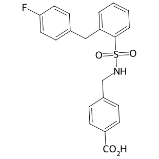 O=C(O)c1ccc(CNS(=O)(=O)c2ccccc2Cc2ccc(F)cc2)cc1